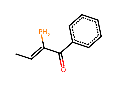 CC=C(P)C(=O)c1ccccc1